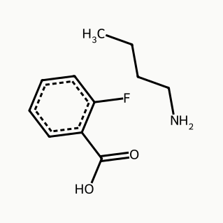 CCCCN.O=C(O)c1ccccc1F